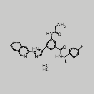 C[C@@H](NC(=O)c1cc(NC(=O)CN)cc(-c2cnc(-c3cc4ccccc4cn3)[nH]2)c1)c1ccc(F)cc1.Cl.Cl